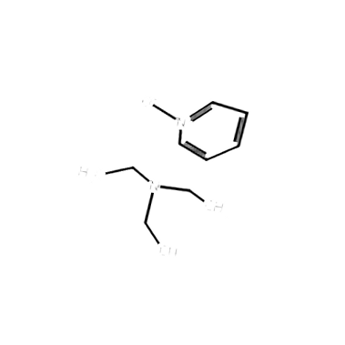 CCN(CC)CC.[O-][n+]1ccccc1